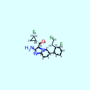 Nc1nc2ccc(-c3cccc(F)c3CCF)cn2c1C(=O)[C@@H]1C[C@@H]1F